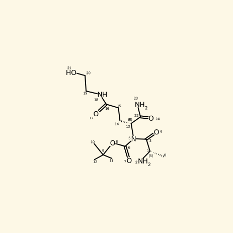 C[C@H](N)C(=O)N(C(=O)OC(C)(C)C)[C@H](CCC(=O)NCCO)C(N)=O